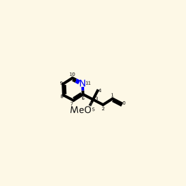 C=CCC(C)(OC)c1ccccn1